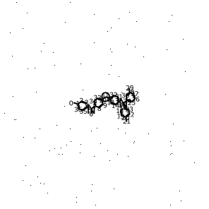 Cc1ccc(N(C)c2ccc(Oc3ccc(N(c4ccc(C)cc4)c4cccc(C)c4)cc3)cc2)cc1